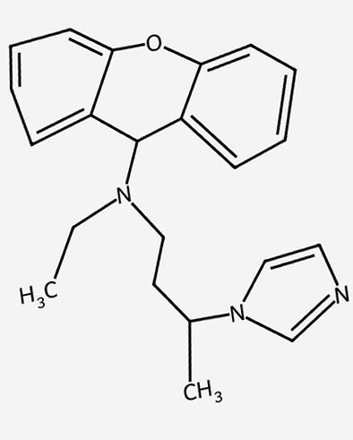 CCN(CCC(C)n1ccnc1)C1c2ccccc2Oc2ccccc21